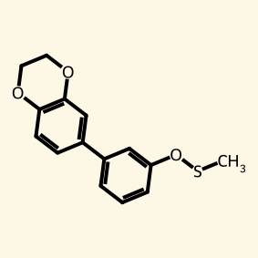 CSOc1cccc(-c2ccc3c(c2)OCCO3)c1